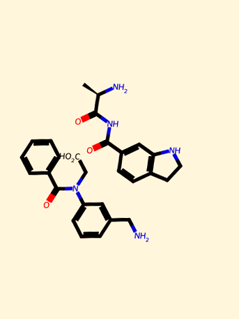 C[C@@H](N)C(=O)NC(=O)c1ccc2c(c1)NCC2.NCc1cccc(N(CC(=O)O)C(=O)c2ccccc2)c1